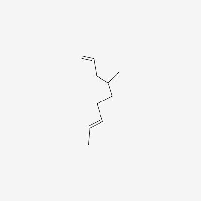 C=CCC(C)CC/C=C/C